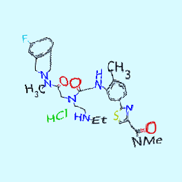 CCNCCN(CC(=O)N(C)N1Cc2ccc(F)cc2C1)C(=O)CNc1cc(-c2nc(C(=O)NC)cs2)ccc1C.Cl